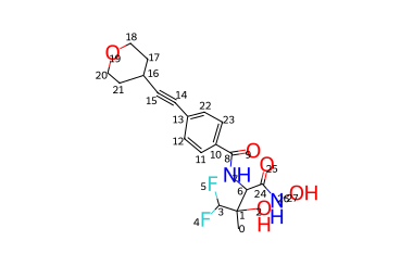 CC(O)(C(F)F)C(NC(=O)c1ccc(C#CC2CCOCC2)cc1)C(=O)NO